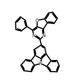 c1ccc(-c2nc(-c3cc4c5ccccc5n5c6ccccc6c(c3)c45)nc3c2oc2ccccc23)cc1